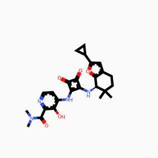 CN(C)C(=O)c1nccc(Nc2c(N[C@H]3c4oc(C5CC5)cc4CCC3(C)C)c(=O)c2=O)c1O